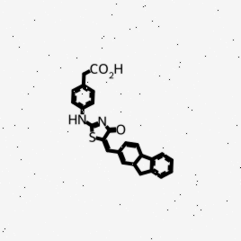 O=C(O)Cc1ccc(NC2=NC(=O)C(=CC3=CC4Cc5ccccc5C4C=C3)S2)cc1